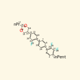 CCCCCc1ccc(-c2ccc(-c3ccc(C4COC(CCC)OC4)cc3F)cc2)c(F)c1F